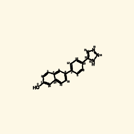 Oc1ccc2cc(-c3ccc(-c4nnn[nH]4)cc3)ccc2c1